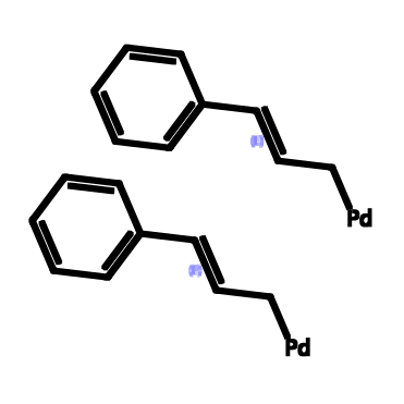 [Pd][CH2]/C=C/c1ccccc1.[Pd][CH2]/C=C/c1ccccc1